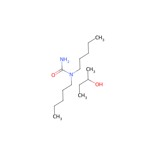 CCC(C)O.CCCCCN(CCCCC)C(N)=O